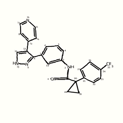 O=C(Nc1cccc(-c2n[nH]cc2-c2ccncc2)c1)C1(c2ccc(C(F)(F)F)cc2)CC1